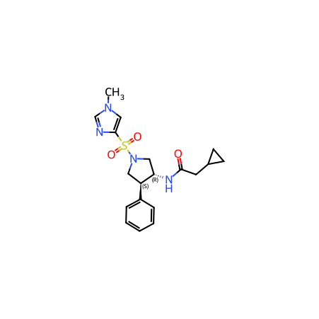 Cn1cnc(S(=O)(=O)N2C[C@H](NC(=O)CC3CC3)[C@@H](c3ccccc3)C2)c1